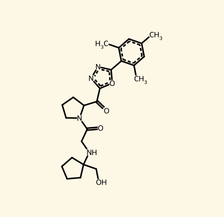 Cc1cc(C)c(-c2nnc(C(=O)C3CCCN3C(=O)CNC3(CO)CCCC3)o2)c(C)c1